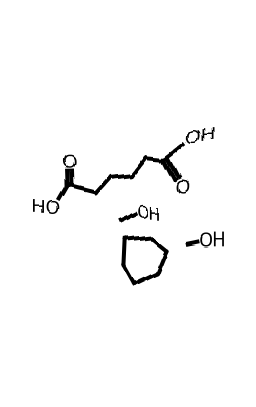 C1CCCCC1.CO.CO.O=C(O)CCCCC(=O)O